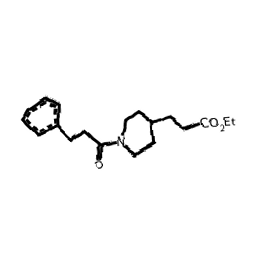 CCOC(=O)CCC1CCN(C(=O)CCc2ccccc2)CC1